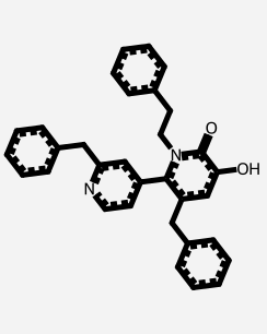 O=c1c(O)cc(Cc2ccccc2)c(-c2ccnc(Cc3ccccc3)c2)n1CCc1ccccc1